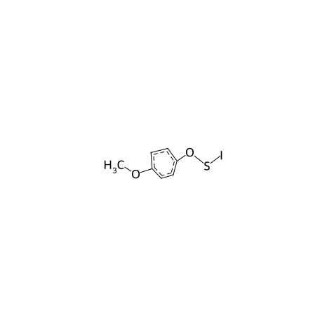 COc1ccc(OSI)cc1